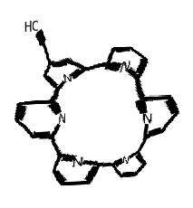 C#Cc1cc2nc(c1)c1cccc(n1)c1cccc(n1)c1cccc(n1)c1cccc(n1)c1cccc2n1